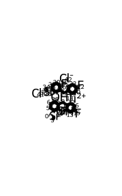 C[Si](C)(C)c1cccc(Cc2c(F)cc(F)c[c]2[Ti+2][c]2cc(F)cc(F)c2Cc2cccc([Si](C)(C)C)c2O)c1O.[Cl-].[Cl-]